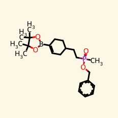 CC1(C)OB(C2=CCC(CCP(C)(=O)OCc3ccccc3)CC2)OC1(C)C